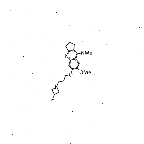 CNc1c2c(nc3cc(OCCCN4CC(F)C4)c(OC)cc13)CCC2